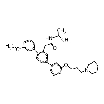 COc1cccc(-c2ccc(-c3cccc(OCCCN4CCCCC4)c3)cc2CC(=O)NC(C)C)c1